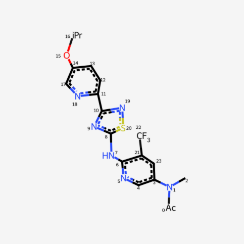 CC(=O)N(C)c1cnc(Nc2nc(-c3ccc(OC(C)C)cn3)ns2)c(C(F)(F)F)c1